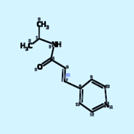 CC(C)NC(=O)/C=C/c1ccncc1